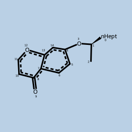 CCCCCCC[C@@H](C)Oc1ccc2c(=O)ccoc2c1